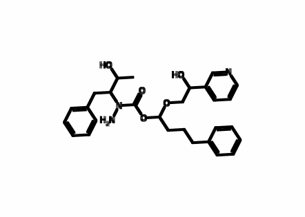 CC(O)C(Cc1ccccc1)N(N)C(=O)OC(CCCc1ccccc1)OCC(O)c1cccnc1